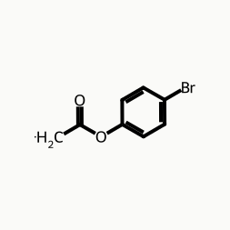 [CH2]C(=O)Oc1ccc(Br)cc1